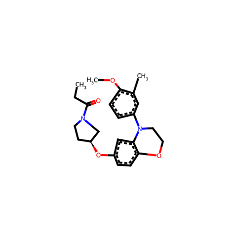 CCC(=O)N1CC[C@H](Oc2ccc3c(c2)N(c2ccc(OC)c(C)c2)CCO3)C1